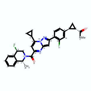 CNC(=O)[C@H]1C[C@@H]1c1ccc(-c2cc3nc(C(=O)N4C[C@H](F)c5ccccc5[C@H]4C)cc(C4CC4)n3n2)c(F)c1